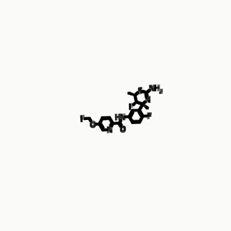 C[C@H]1SC(N)=N[C@](C)(c2cc(NC(=O)c3ccc(OCF)cn3)ccc2F)[C@H]1F